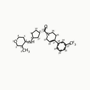 CC1COCCC1NC1CC[C@H](C(=O)N2CC=C(c3cccc(C(F)(F)F)c3)CC2)C1